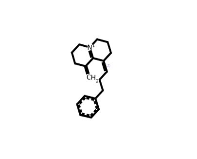 C=C1CCC[N+]2=C1/C(=C\CCc1ccccc1)CCC2